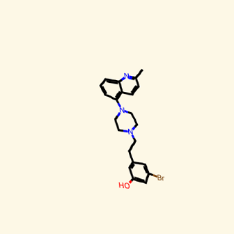 Cc1ccc2c(N3CCN(CCc4cc(O)cc(Br)c4)CC3)cccc2n1